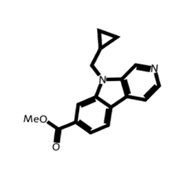 COC(=O)c1ccc2c3ccncc3n(CC3CC3)c2c1